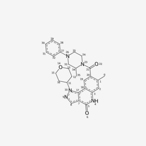 Cc1cc2[nH]c(=O)c3cnn(C4CCOCC4)c3c2cc1C(=O)N1CCN(c2ccccc2)CC1C